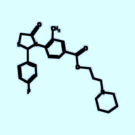 Cc1cc(C(=O)OCCCN2CCCCC2)ccc1N1C(=O)CSC1c1ccc(F)cc1